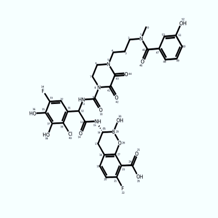 CN(CCCN1CCN(C(=O)NC(C(=O)N[C@H]2Cc3ccc(F)c(C(=O)O)c3OB2O)c2cc(F)c(O)c(O)c2Cl)C(=O)C1=O)C(=O)c1cccc(O)c1